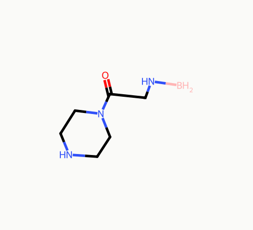 BNCC(=O)N1CCNCC1